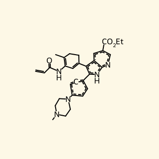 C=CC(=O)NC1=C(C)CCC(c2c(-c3ccc(N4CCN(C)CC4)cc3)[nH]c3ncc(C(=O)OCC)cc23)=C1